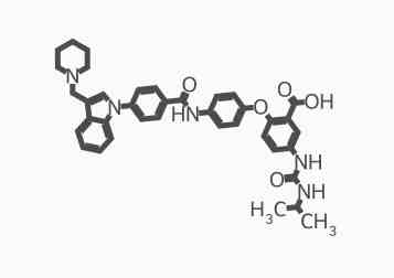 CC(C)NC(=O)Nc1ccc(Oc2ccc(NC(=O)c3ccc(-n4cc(CN5CCCCC5)c5ccccc54)cc3)cc2)c(C(=O)O)c1